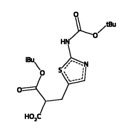 CCC(C)OC(=O)C(Cc1cnc(NC(=O)OC(C)(C)C)s1)C(=O)O